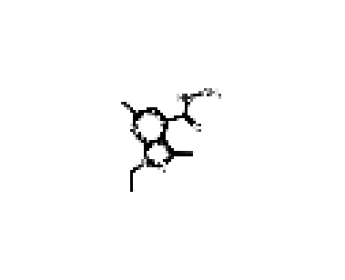 CCn1nc(C)c2c(C(=O)NN)cc(C)nc21